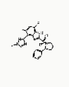 Cc1cc(F)c2[nH]c(S(=O)(=O)N3CCC[C@H]3c3ccccc3)cc2c1-c1ncn(C)n1